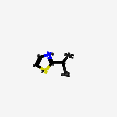 CCC(C(C)=O)c1nccs1